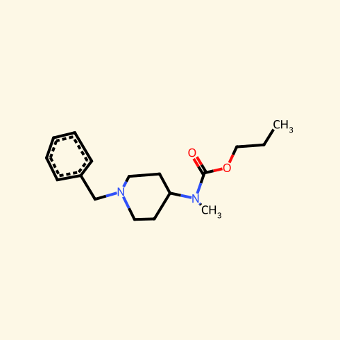 CCCOC(=O)N(C)C1CCN(Cc2ccccc2)CC1